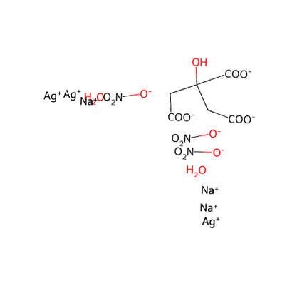 O.O.O=C([O-])CC(O)(CC(=O)[O-])C(=O)[O-].O=[N+]([O-])[O-].O=[N+]([O-])[O-].O=[N+]([O-])[O-].[Ag+].[Ag+].[Ag+].[Na+].[Na+].[Na+]